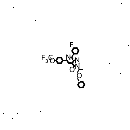 CC(COCc1ccccc1)n1cnc2c(-c3cccc(F)c3)nc(-c3ccc(OC(F)(F)F)cc3)cc2c1=O